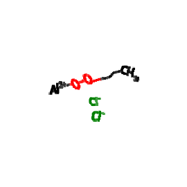 CCO[O][Al+2].[Cl-].[Cl-]